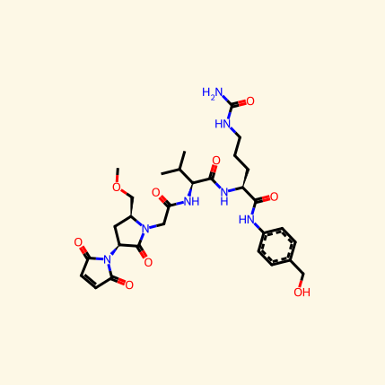 COC[C@@H]1C[C@H](N2C(=O)C=CC2=O)C(=O)N1CC(=O)N[C@H](C(=O)N[C@@H](CCCNC(N)=O)C(=O)Nc1ccc(CO)cc1)C(C)C